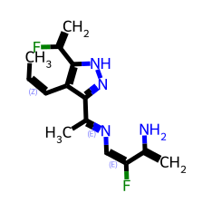 C=C(N)/C(F)=C\N=C(/C)c1n[nH]c(C(=C)F)c1/C=C\C